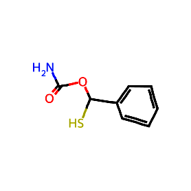 NC(=O)OC(S)c1ccccc1